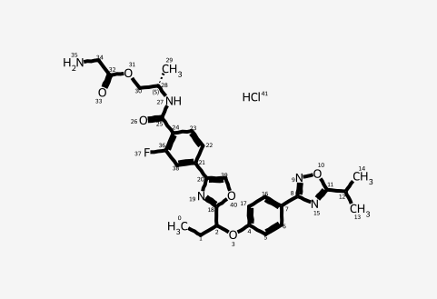 CCC(Oc1ccc(-c2noc(C(C)C)n2)cc1)c1nc(-c2ccc(C(=O)N[C@@H](C)COC(=O)CN)c(F)c2)co1.Cl